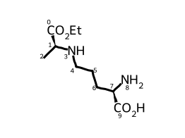 CCOC(=O)[C@H](C)NCCC[C@@H](N)C(=O)O